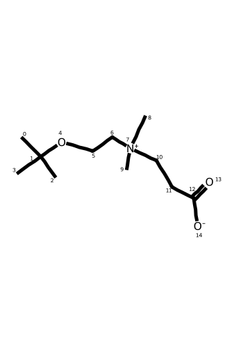 CC(C)(C)OCC[N+](C)(C)CCC(=O)[O-]